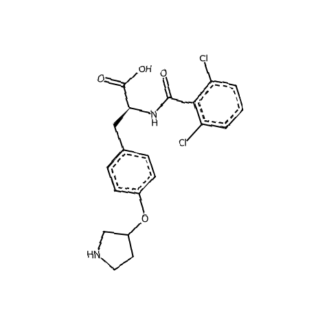 O=C(N[C@@H](Cc1ccc(OC2CCNC2)cc1)C(=O)O)c1c(Cl)cccc1Cl